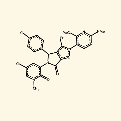 CNc1ncc(-n2nc3c(c2C(C)C)C(c2ccc(Cl)cc2)N(c2cc(Cl)cn(C)c2=O)C3=O)c(OC)n1